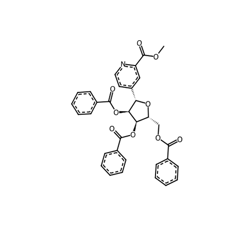 COC(=O)c1cc([C@@H]2O[C@H](COC(=O)c3ccccc3)[C@@H](OC(=O)c3ccccc3)[C@H]2OC(=O)c2ccccc2)ccn1